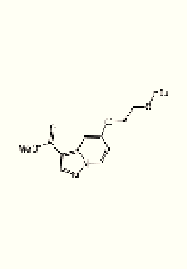 CCCCOCCOc1ccn2ncc(C(=O)OC)c2c1